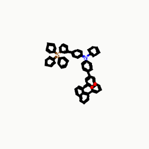 c1ccc(-c2cccc3cccc(-c4cccc(-c5ccc(N(c6ccccc6)c6ccc(-c7cccc(S(c8ccccc8)(c8ccccc8)c8ccccc8)c7)cc6)cc5)c4)c23)cc1